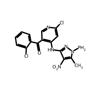 Cc1c([N+](=O)[O-])c(Nc2cc(Cl)ncc2C(=O)c2ccccc2Cl)nn1P